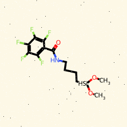 CO[SiH](CCCCNC(=O)c1c(F)c(F)c(F)c(F)c1F)OC